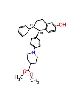 COC(OC)C1CCN(c2ccc([C@@H]3c4ccc(O)cc4CC[C@@H]3C3C=CC=CC3)cc2)CC1